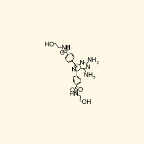 Nc1nc(N)c2c(-c3ccc(S(=O)(=O)NCCO)cc3)nn(-c3ccc(S(=O)(=O)NCCO)cc3)c2n1